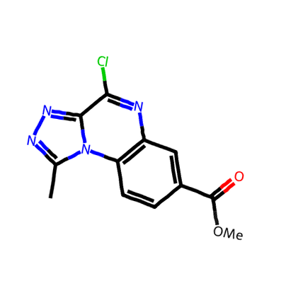 COC(=O)c1ccc2c(c1)nc(Cl)c1nnc(C)n12